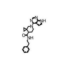 O=C(NCCc1ccccc1)C1CCN(c2ncnc3[nH]ccc23)CC12CC2